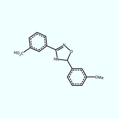 COc1cccc(C2NC(c3cccc(C(=O)O)c3)=NO2)c1